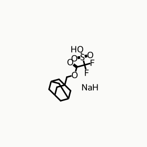 O=C(OCC12CC3CC(CC(C3)C1)C2)C(F)(F)S(=O)(=O)O.[NaH]